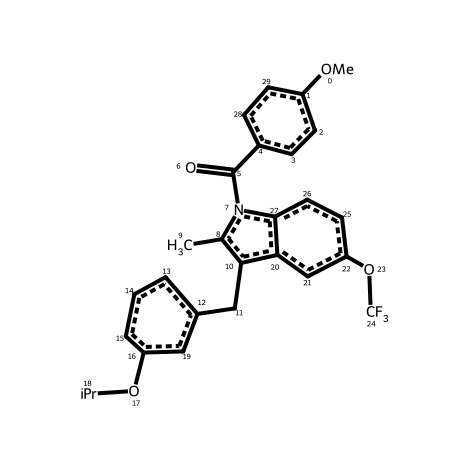 COc1ccc(C(=O)n2c(C)c(Cc3cccc(OC(C)C)c3)c3cc(OC(F)(F)F)ccc32)cc1